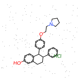 Cl.Oc1ccc2c(c1)CCC(c1ccccc1)C2c1ccc(OCCN2CCCC2)cc1